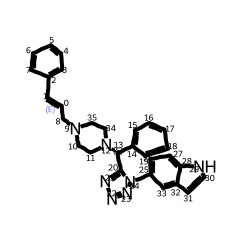 C(=C\c1ccccc1)/CN1CCN([C@@H](c2ccccc2)c2nnnn2-c2ccc3[nH]ccc3c2)CC1